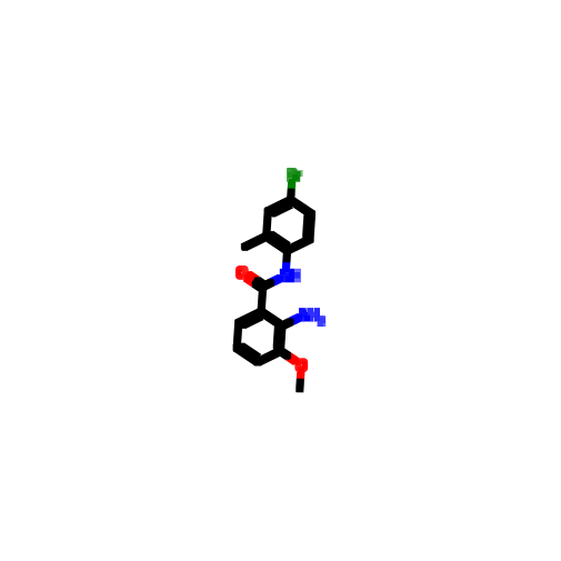 COc1cccc(C(=O)Nc2ccc(Br)cc2C)c1N